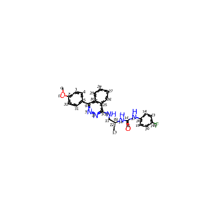 COc1ccc(-c2nnc(NC[C@H](C)NC(=O)Nc3ccc(F)cc3)c3ccccc23)cc1